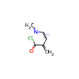 C=N/C=C\C(=C)C(=O)Cl